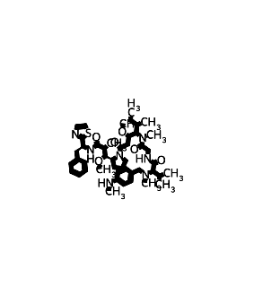 CCC(C)C(C(CC(=O)N1CCC[C@H]1C(OC)C(C)C(=O)N[C@@H](Cc1ccccc1)c1nccs1)OC)N(C)C(=O)CNC(=O)C(C(C)C)N(C)Cc1ccc(NC)cc1